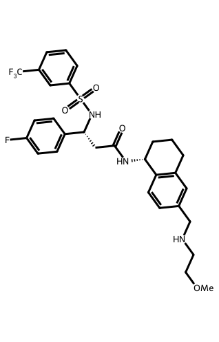 COCCNCc1ccc2c(c1)CCC[C@H]2NC(=O)C[C@@H](NS(=O)(=O)c1cccc(C(F)(F)F)c1)c1ccc(F)cc1